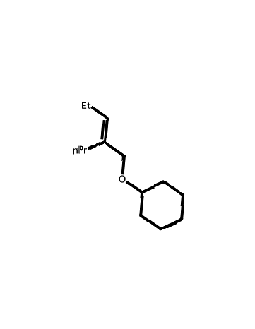 CC/C=C(\CCC)COC1CCCCC1